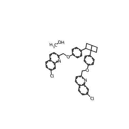 CO.Clc1ccc2ccc(COc3ccc(C4CC5CCC54c4ccc(OCc5ccc6ccc(Cl)cc6n5)cc4)cc3)nc2c1